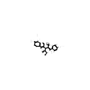 O=c1oc2c(O)c(O)ccc2c(O)c1C(c1c(O)c2ccc(O)c(O)c2oc1=O)C1CCOC1